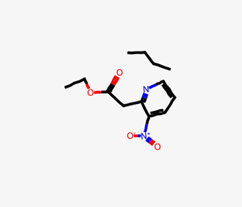 CCCC.CCOC(=O)Cc1ncccc1[N+](=O)[O-]